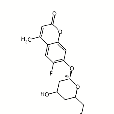 Cc1cc(=O)oc2cc(O[C@@H]3CC(O)CC(CO)O3)c(F)cc12